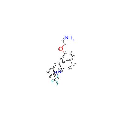 NCCOc1ccc2c(c1)C(Cc1cccc(C(F)(F)F)c1)C(N)CC2